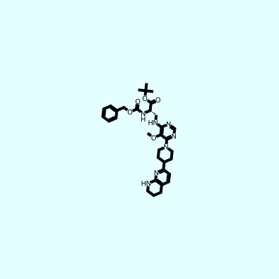 COc1c(NC[C@H](NC(=O)OCc2ccccc2)C(=O)OC(C)(C)C)ncnc1N1CCC(c2ccc3c(n2)NCCC3)CC1